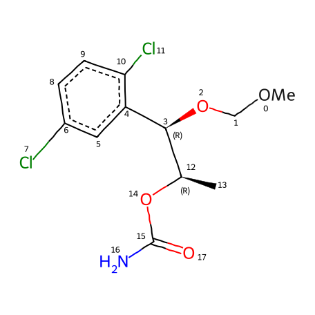 COCO[C@H](c1cc(Cl)ccc1Cl)[C@@H](C)OC(N)=O